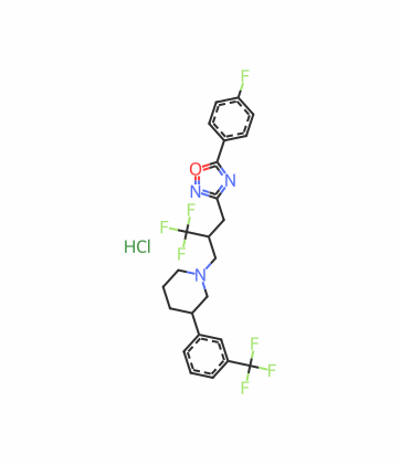 Cl.Fc1ccc(-c2nc(CC(CN3CCCC(c4cccc(C(F)(F)F)c4)C3)C(F)(F)F)no2)cc1